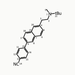 CN(CCc1ccc2cc(-c3ccc(C#N)cc3)ccc2c1)C(C)(C)C